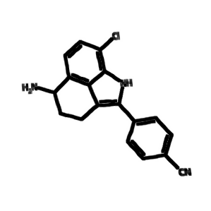 N#Cc1ccc(-c2[nH]c3c(Cl)ccc4c3c2CCC4N)cc1